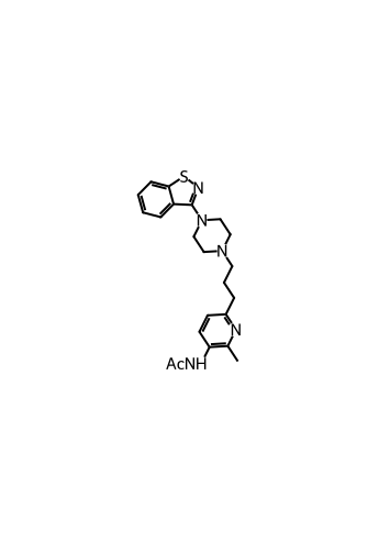 CC(=O)Nc1ccc(CCCN2CCN(c3nsc4ccccc34)CC2)nc1C